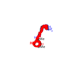 C=N/C(=N\C=C(/C)CNC(=O)O[C@@H]1CC[C@@H](C[C@@H](C)[C@@H]2CC(=O)[C@H](C)/C=C(\C)[C@@H](O)[C@@H](O)C(=O)[C@H](C)C[C@H](C)/C=C/C=C/C=C(\C)[C@@H](OC)C[C@@H]3CC[C@@H](C)[C@@](O)(O3)C(=O)C(=O)N3CCCC[C@H]3C(=O)O2)C[C@H]1OC)N1CCN(C(=O)CCOCCN2CCN(c3ncc(C(=O)N4CCc5cc(Cn6nc(-c7ccc8oc(N)nc8c7)c7c(N)ncnc76)ccc5C4)cn3)CC2)CC1